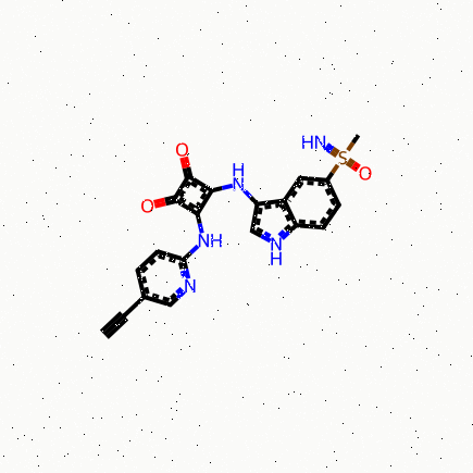 C#Cc1ccc(Nc2c(Nc3c[nH]c4ccc(S(C)(=N)=O)cc34)c(=O)c2=O)nc1